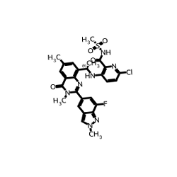 Cc1cc([C@@H](C)Nc2ccc(Cl)nc2C(=O)NS(C)(=O)=O)c2nc(-c3cc(F)c4nn(C)cc4c3)n(C)c(=O)c2c1